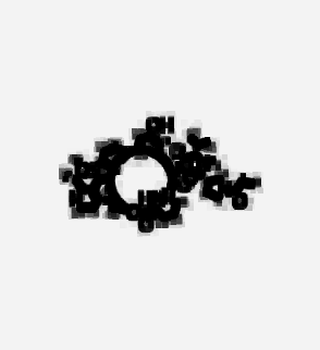 C=CC(=O)N1CC[C@H](C(=O)N(C)[C@H](C(=O)N[C@H]2CC3C=C(O)C=C(C3)c3ccc4sc(-c5cccnc5[C@H](C)OC)c(c4c3)CC(C)(C)COC(=O)[C@@H]3CCCN(N3)C2=O)C(C)C)C1